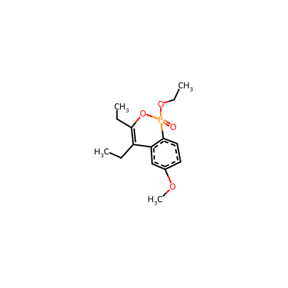 CCOP1(=O)OC(CC)=C(CC)c2cc(OC)ccc21